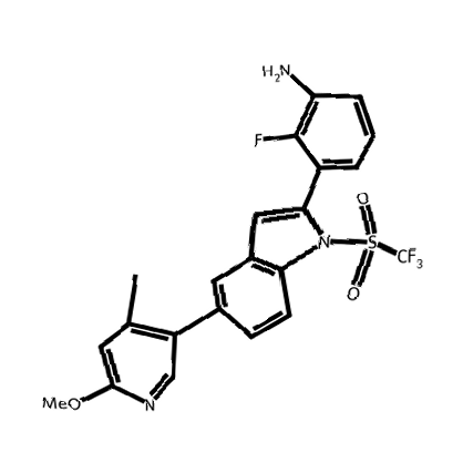 COc1cc(C)c(-c2ccc3c(c2)cc(-c2cccc(N)c2F)n3S(=O)(=O)C(F)(F)F)cn1